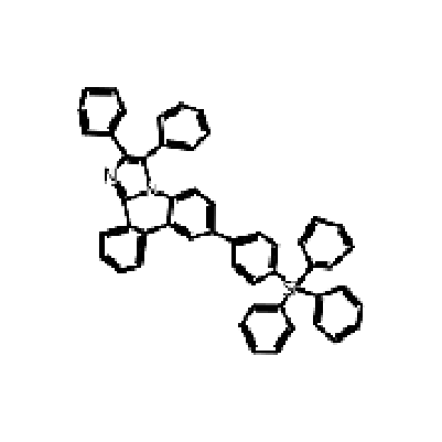 c1ccc(-c2nc3c4ccccc4c4cc(-c5ccc([Si](c6ccccc6)(c6ccccc6)c6ccccc6)cc5)ccc4n3c2-c2ccccc2)cc1